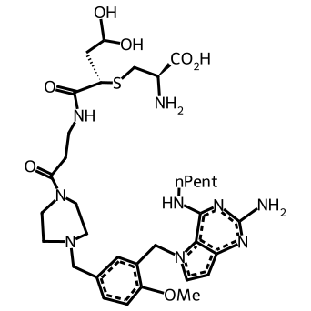 CCCCCNc1nc(N)nc2ccn(Cc3cc(CN4CCN(C(=O)CCNC(=O)[C@H](CC(O)O)SC[C@H](N)C(=O)O)CC4)ccc3OC)c12